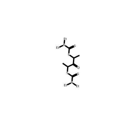 CCN(CC)C(=S)SC(C)C(=O)C(C)SC(=S)N(CC)CC